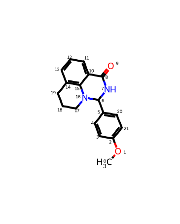 COc1ccc(C2NC(=O)c3cccc4c3N2CCC4)cc1